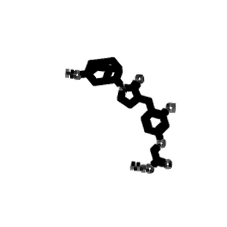 COC(=O)COc1ccc(CC2CCN(C3C4CC5CC3CC(O)(C5)C4)C2=O)c(Cl)c1